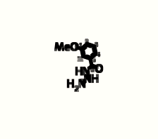 COc1cccc(C(=O)NNN)c1